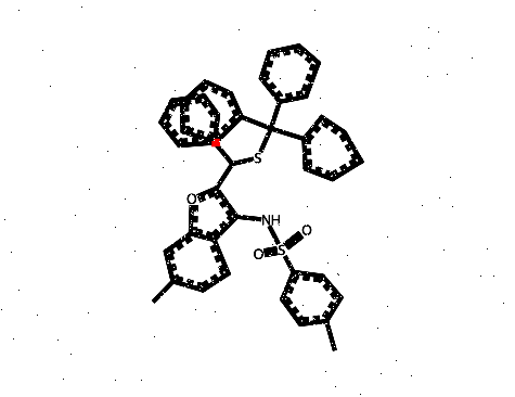 Cc1ccc(S(=O)(=O)Nc2c(C(SC(c3ccccc3)(c3ccccc3)c3ccccc3)c3ccccc3)oc3cc(C)ccc23)cc1